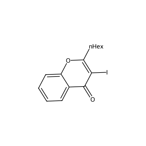 CCCCCCc1oc2ccccc2c(=O)c1I